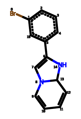 Brc1cccc(C2=CN3C=CC=CC3N2)c1